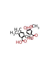 COc1cc(C(=O)O)ccc1O.Cc1cc(C)c(C(=O)O)cc1C